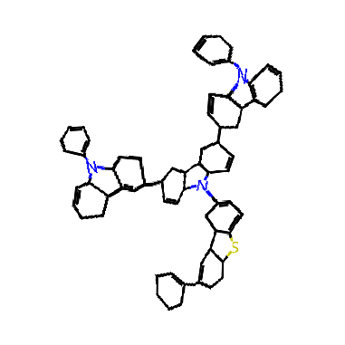 C1=CCCC(N2C3=C(CCC=C3)C3CC(C4C=CC5C(C4)C4CC(C6C=C7C8CCC=CC8N(C8=CC=CCC8)C7CC6)C=CC4N5C4=CC=C5SC6CCC(C7=CCCCC7)=CC6C5C4)C=CC32)=C1